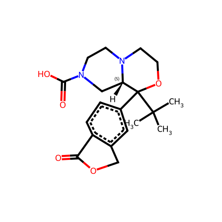 CC(C)(C)C1(c2ccc3c(c2)COC3=O)OCCN2CCN(C(=O)O)C[C@H]21